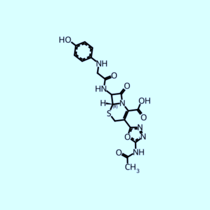 CC(=O)Nc1nnc(C2=C(C(=O)O)N3C(=O)C(NC(=O)CNc4ccc(O)cc4)[C@H]3SC2)o1